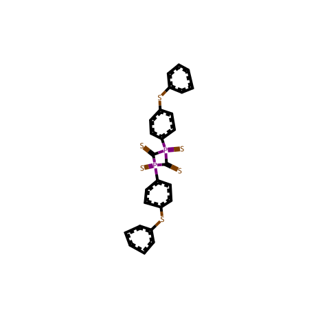 S=C1P(=S)(c2ccc(Sc3ccccc3)cc2)C(=S)P1(=S)c1ccc(Sc2ccccc2)cc1